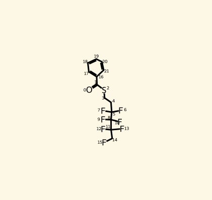 O=C(SCCC(F)(F)C(F)(F)C(F)(F)CF)c1ccccc1